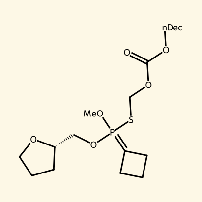 CCCCCCCCCCOC(=O)OCSP(OC)(OC[C@@H]1CCCO1)=C1CCC1